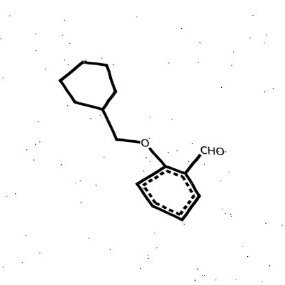 O=[C]c1ccccc1OCC1CCCCC1